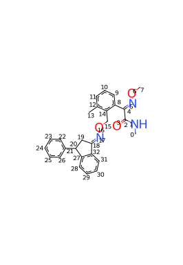 CNC(=O)/C(=N/OC)c1cccc(C)c1CO/N=C1\CC(c2ccccc2)c2ccccc21